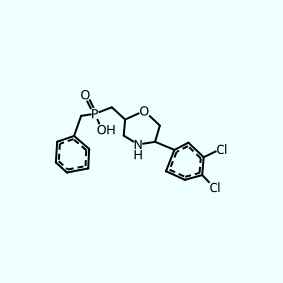 O=P(O)(Cc1ccccc1)CC1CNC(c2ccc(Cl)c(Cl)c2)CO1